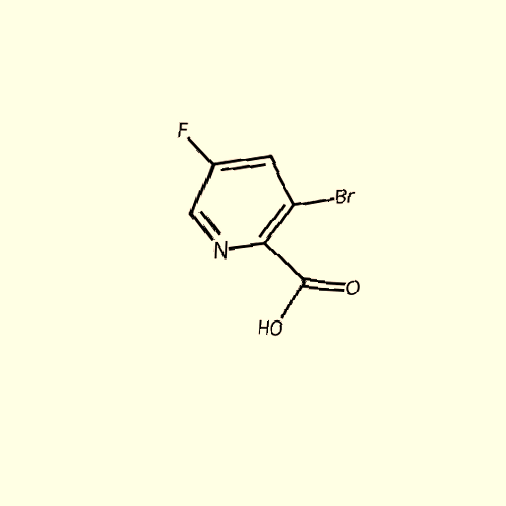 O=C(O)c1ncc(F)cc1Br